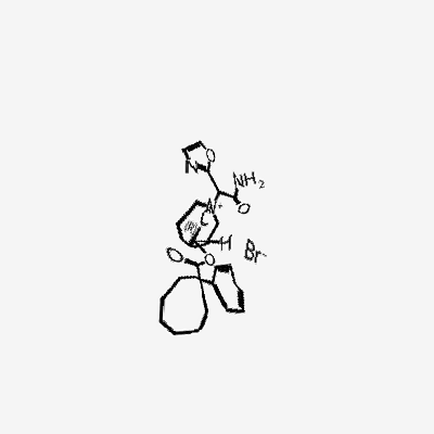 NC(=O)C(c1ncco1)[N+]12CCC(CC1)[C@@H](OC(=O)C1(c3ccccc3)CCCCCC1)C2.[Br-]